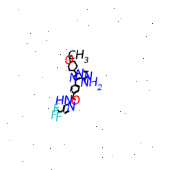 COC1CCC(c2nc(-c3ccc(C(=O)Nc4cc(C(F)(F)F)ccn4)cc3)c3c(N)nccn23)CC1